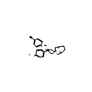 COc1ccc(C(=O)CN2CC3CCC(C2)N3CCCS(=O)(=O)c2ccc(C#N)cc2)cc1